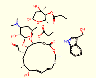 CCC(=O)O[C@@H]1CC(=O)O[C@H](C)C/C=C/C=C/[C@H](O)[C@H](C)C[C@H](CC=O)[C@H](O[C@@H]2O[C@H](C)[C@@H](O[C@H]3C[C@@](C)(O)[C@@H](OC(=O)CC)[C@H](C)O3)[C@H](N(C)C)[C@H]2O)[C@H]1OC.OCc1c[nH]c2ccccc12